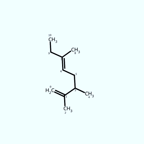 C=C(C)C(C)C/C=C(\C)CC